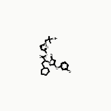 CC(C)(O)Cn1ccc(NC(=O)C(CC2CCCCC2)N2CC(Oc3cccc(Br)c3)=CC2=O)n1